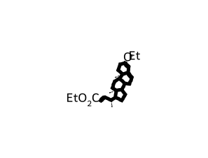 CCOC(=O)/C=C/[C@@H](C)C1CCC2C3CC=C4C=C(OCC)CC[C@]4(C)C3CC[C@@]21C